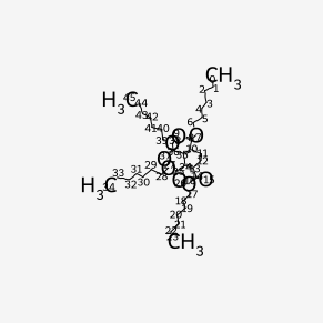 CCCCCCCOC(=O)c1ccc(C(=O)OCCCCCCC)c(C(=O)OCCCCCCC)c1C(=O)OCCCCCCC